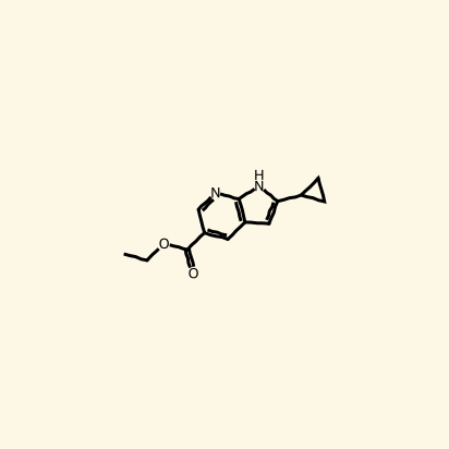 CCOC(=O)c1cnc2[nH]c(C3CC3)cc2c1